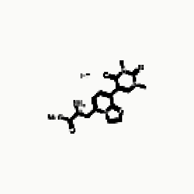 COC(=O)[C@@H](N)Cc1ccc(-c2cn(C)c(=O)n(C)c2=O)c2nccn12.Cl